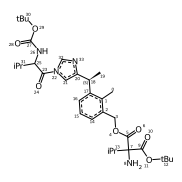 Cc1c(COC(=O)C(N)(C(=O)OC(C)(C)C)C(C)C)cccc1[C@H](C)c1cn(C(=O)C(NC(=O)OC(C)(C)C)C(C)C)cn1